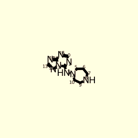 c1nc(NN2CCCNCC2)n2ncnc2n1